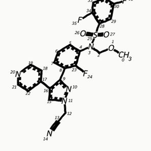 COCN(c1cccc(-c2nn(CC#N)cc2-c2ccncc2)c1F)S(=O)(=O)c1cc(F)ccc1F